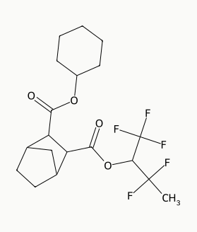 CC(F)(F)C(OC(=O)C1C2CCC(C2)C1C(=O)OC1CCCCC1)C(F)(F)F